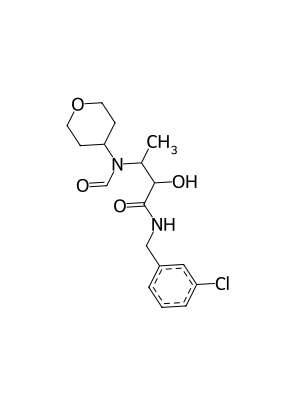 CC(C(O)C(=O)NCc1cccc(Cl)c1)N(C=O)C1CCOCC1